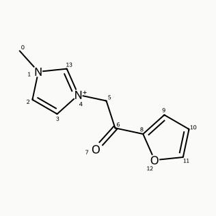 Cn1cc[n+](CC(=O)c2ccco2)c1